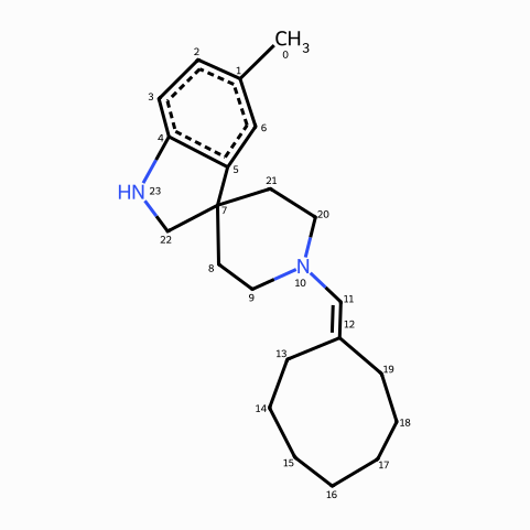 Cc1ccc2c(c1)C1(CCN(C=C3CCCCCCC3)CC1)CN2